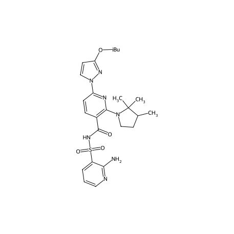 CCC(C)Oc1ccn(-c2ccc(C(=O)NS(=O)(=O)c3cccnc3N)c(N3CCC(C)C3(C)C)n2)n1